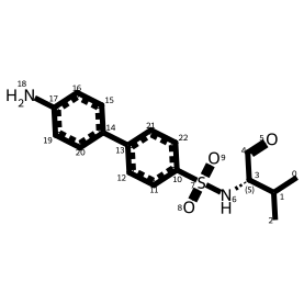 CC(C)[C@@H](C=O)NS(=O)(=O)c1ccc(-c2ccc(N)cc2)cc1